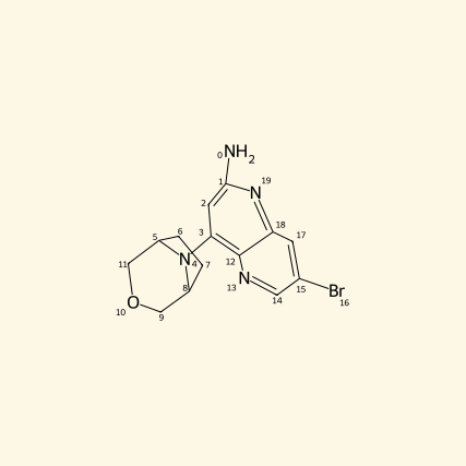 Nc1cc(N2C3CCC2COC3)c2ncc(Br)cc2n1